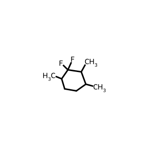 CC1CCC(C)C(F)(F)C1C